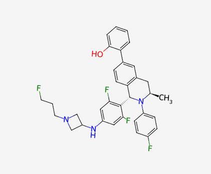 C[C@@H]1Cc2cc(-c3ccccc3O)ccc2[C@@H](c2c(F)cc(NC3CN(CCCF)C3)cc2F)N1c1ccc(F)cc1